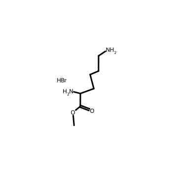 Br.COC(=O)C(N)CCCCN